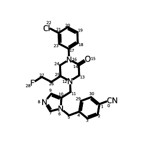 N#Cc1ccc(Cn2cncc2CN2CC(=O)N(c3cccc(Cl)c3)CC2CCF)cc1